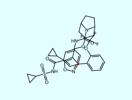 O=C(NS(=O)(=O)C1CC1)c1cccc(NC(=O)N2C3CCC2CC(OCc2c(-c4ccccc4OC(F)(F)F)noc2C2CC2)C3)c1